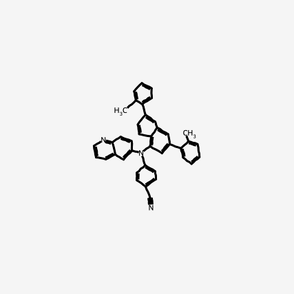 Cc1ccccc1-c1ccc2c(N(c3ccc(C#N)cc3)c3ccc4ncccc4c3)cc(-c3ccccc3C)cc2c1